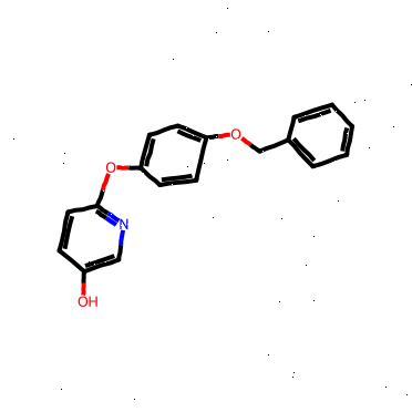 Oc1ccc(Oc2ccc(OCc3ccccc3)cc2)nc1